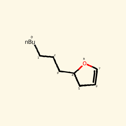 CCCCCCCC1CC=CO1